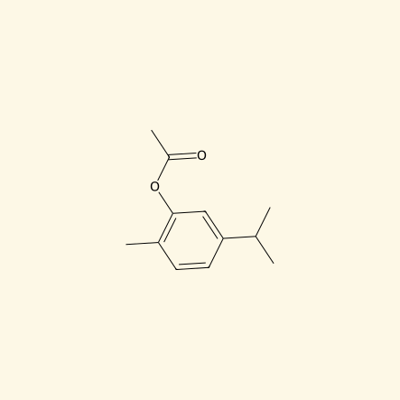 CC(=O)Oc1cc(C(C)C)ccc1C